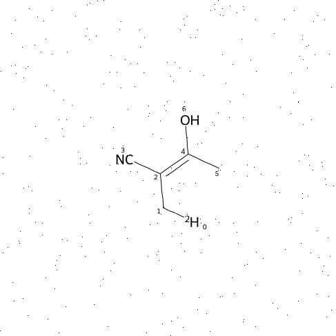 [2H]CC(C#N)=C(C)O